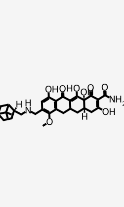 COc1c(CNC[C@@H]2CCC3CC2C3(C)C)cc(O)c2c1CC1C[C@H]3CC(O)=C(C(N)=O)C(=O)[C@@]3(O)C(O)=C1C2=O